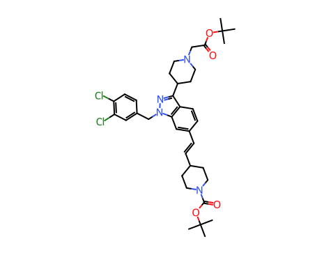 CC(C)(C)OC(=O)CN1CCC(c2nn(Cc3ccc(Cl)c(Cl)c3)c3cc(C=CC4CCN(C(=O)OC(C)(C)C)CC4)ccc23)CC1